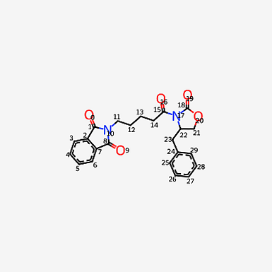 O=C1c2ccccc2C(=O)N1CCCCC(=O)N1C(=O)OCC1Cc1ccccc1